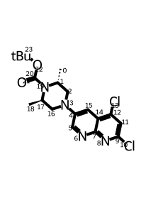 C[C@@H]1CN(c2cnc3nc(Cl)cc(Cl)c3c2)C[C@@H](C)N1C(=O)OC(C)(C)C